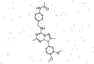 COc1ccc(C2C(C)=NN3C(NCc4ccc(NC(C)=O)cc4)=NC(C)=NC23)cc1OC